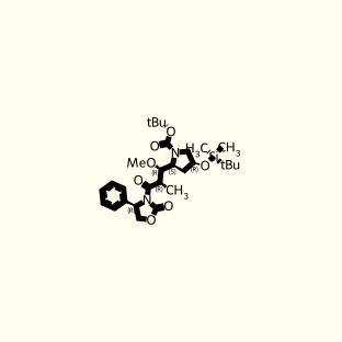 CO[C@H]([C@@H](C)C(=O)N1C(=O)OC[C@H]1c1ccccc1)[C@@H]1C[C@@H](O[Si](C)(C)C(C)(C)C)CN1C(=O)OC(C)(C)C